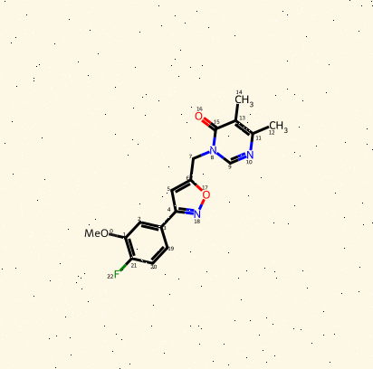 COc1cc(-c2cc(Cn3cnc(C)c(C)c3=O)on2)ccc1F